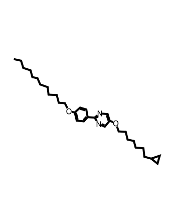 CCCCCCCCCCCCOc1ccc(-c2ncc(OCCCCCCCC3CC3)cn2)cc1